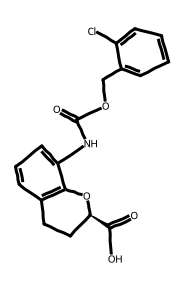 O=C(Nc1cccc2c1O[C@@H](C(=O)O)CC2)OCc1ccccc1Cl